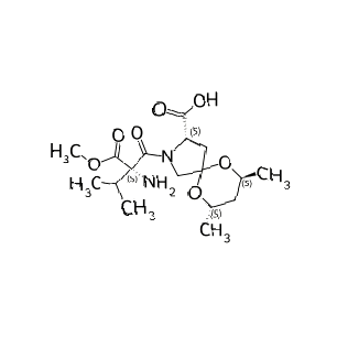 COC(=O)[C@@](N)(C(=O)N1CC2(C[C@H]1C(=O)O)O[C@@H](C)C[C@H](C)O2)C(C)C